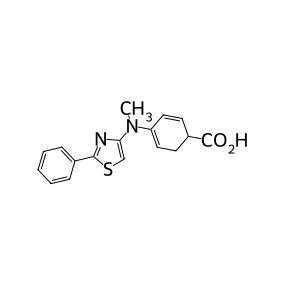 CN(C1=CCC(C(=O)O)C=C1)c1csc(-c2ccccc2)n1